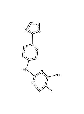 Cc1cnc(Nc2ccc(-c3ncco3)cc2)nc1N